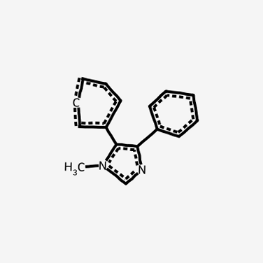 Cn1cnc(-c2ccccc2)c1-c1ccccc1